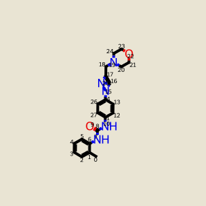 Cc1ccccc1NC(=O)Nc1ccc(-n2c3c(CN4CCOCC4)n2-3)cc1